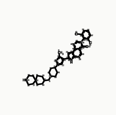 Cc1nn(C2CCN(CC3CCC4(CCNCC4)CC3)CC2)cc1-c1cc2c(ncc3c(=O)n(-c4c(Cl)cccc4Cl)cnc32)[nH]1